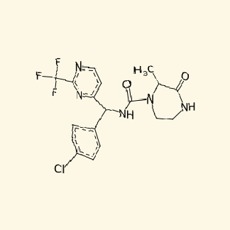 CC1C(=O)NCCN1C(=O)NC(c1ccc(Cl)cc1)c1ccnc(C(F)(F)F)n1